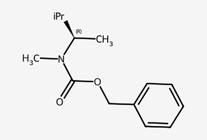 CC(C)[C@@H](C)N(C)C(=O)OCc1ccccc1